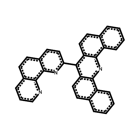 c1ccc2c(c1)ccc1c(-c3ccc4ccc5cccnc5c4n3)c3ccc4ccccc4c3nc12